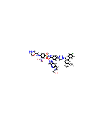 CC1(C)CCC(CN2CCN(c3ccc(C(=O)NS(=O)(=O)c4ccc(NC[C@@H]5CNCCO5)c([N+](=O)[O-])c4)c(-n4ncc5nc6c(ccn6CO)cc54)c3)CC2)=C(c2ccc(Cl)cc2)C1